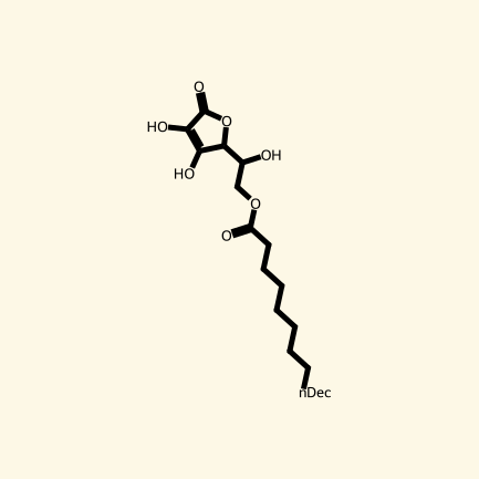 CCCCCCCCCCCCCCCCCC(=O)OCC(O)C1OC(=O)C(O)=C1O